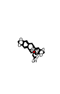 O=C(O)CC(=O)N1C2Cc3cc4c(cc3C1Cc1cc3c(cc12)OCO3)OCO4